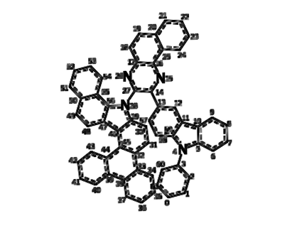 c1ccc(-n2c3ccccc3c3cc(-c4nc5c(ccc6ccccc65)nc4-n4c5ccc6c7ccccc7c7ccccc7c6c5c5ccc6ccccc6c54)ccc32)cc1